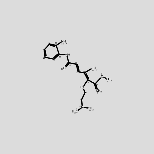 C=C(OC)/C(OCCN(C)C)=C(C)/C=C/C(=O)Nc1ccccc1N